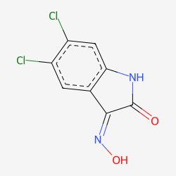 O=C1Nc2cc(Cl)c(Cl)cc2C1=NO